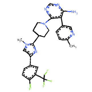 Cc1ccc(-c2c(N)ncnc2N2CCC(c3nc(-c4ccc(F)c(C(F)(F)F)c4)cn3C)CC2)cn1